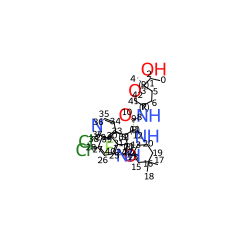 CC(O)[C@@]1(C)CC[C@@H](NC(=O)[C@@H]2NC3(CCC(C)(C)CC3)[C@@]3(C(=O)Nc4cc(Cl)ccc43)[C@H]2c2ccnc(Cl)c2F)CO1